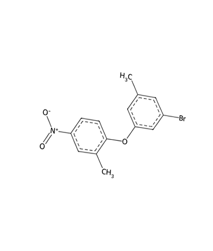 Cc1cc(Br)cc(Oc2ccc([N+](=O)[O-])cc2C)c1